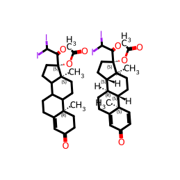 CC(=O)O[C@@]1(C(=O)C(I)I)CCC2C3CCC4=CC(=O)CC[C@]4(C)C3CC[C@@]21C.CC(=O)O[C@@]1(C(=O)C(I)I)CC[C@H]2[C@@H]3CCC4=CC(=O)C=C[C@]4(C)[C@H]3CC[C@@]21C